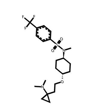 CN(C)C1(CCO[C@H]2CC[C@H](N(C)S(=O)(=O)c3ccc(C(F)(F)F)cc3)CC2)CC1